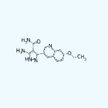 CCOc1ccc2cc(-c3n[nH]c(N)c3C(N)=O)cnc2c1